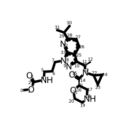 COC(=O)NCCCn1nc([C@@H](C)N(C(=O)[C@H]2CNCCO2)C2CC2)c2ccc(C(C)C)nc21